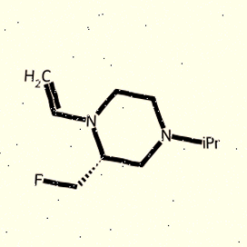 C=CN1CCN(C(C)C)C[C@@H]1CF